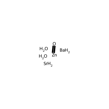 O.O.[BaH2].[O]=[Zn].[SrH2]